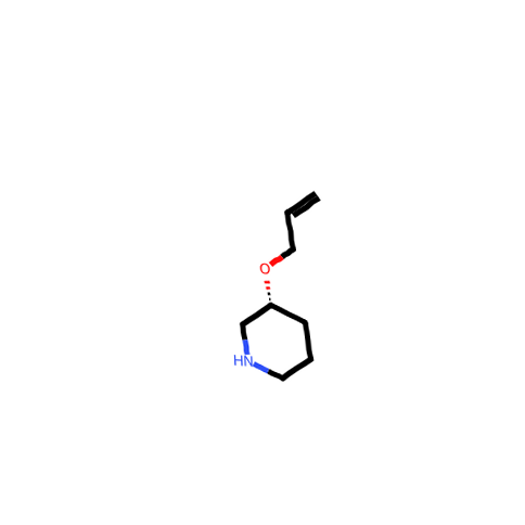 C=CCO[C@@H]1CCCNC1